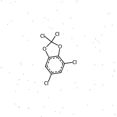 Clc1cc(Cl)c2c(c1)OC(Cl)(Cl)O2